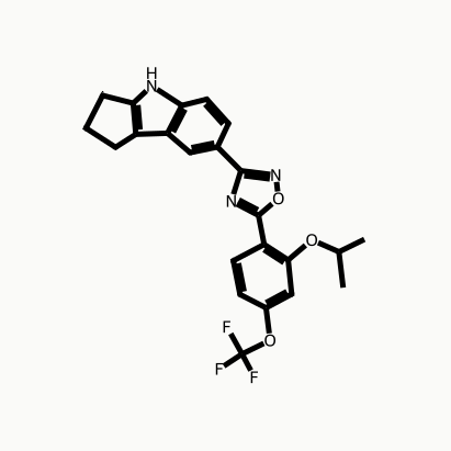 CC(C)Oc1cc(OC(F)(F)F)ccc1-c1nc(-c2ccc3[nH]c4c(c3c2)CC[CH]4)no1